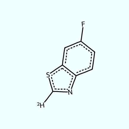 [2H]c1nc2ccc(F)cc2s1